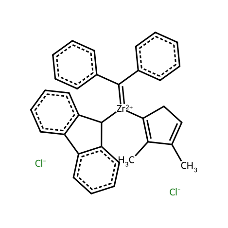 CC1=CC[C]([Zr+2](=[C](c2ccccc2)c2ccccc2)[CH]2c3ccccc3-c3ccccc32)=C1C.[Cl-].[Cl-]